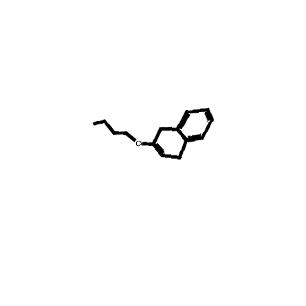 CCCCOC1=C[CH]c2ccccc2C1